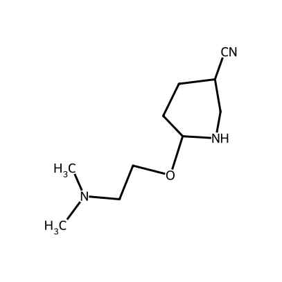 CN(C)CCOC1CCC(C#N)CN1